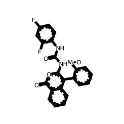 COc1ccccc1-c1c(NC(=O)Nc2ccc(F)cc2F)oc(=O)c2ccccc12